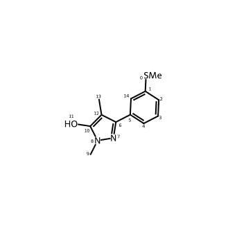 CSc1cccc(-c2nn(C)c(O)c2C)c1